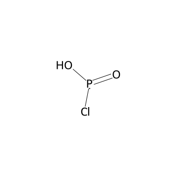 O=[P](O)Cl